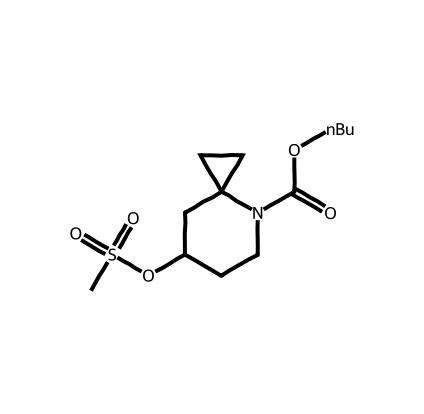 CCCCOC(=O)N1CCC(OS(C)(=O)=O)CC12CC2